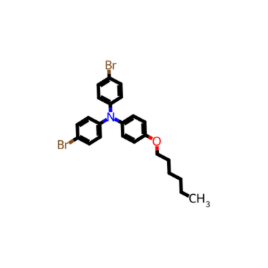 CCCCCCOc1ccc(N(c2ccc(Br)cc2)c2ccc(Br)cc2)cc1